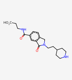 O=C(O)CCNC(=O)c1ccc2c(c1)C(=O)N(CCC1CCNCC1)C2